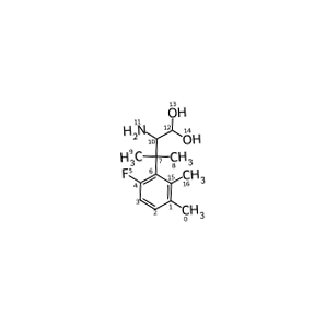 Cc1ccc(F)c(C(C)(C)C(N)C(O)O)c1C